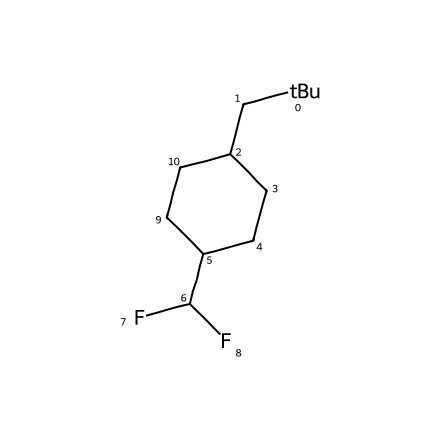 CC(C)(C)CC1CCC(C(F)F)CC1